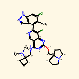 Cc1c(Cl)cc2[nH]ncc2c1-c1ncc2c(NCC3(N(C)C)CCC3)nc(OCC34CCCN3CCC4)nc2c1F